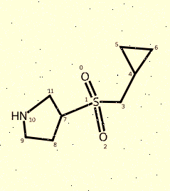 O=S(=O)(CC1CC1)C1CCNC1